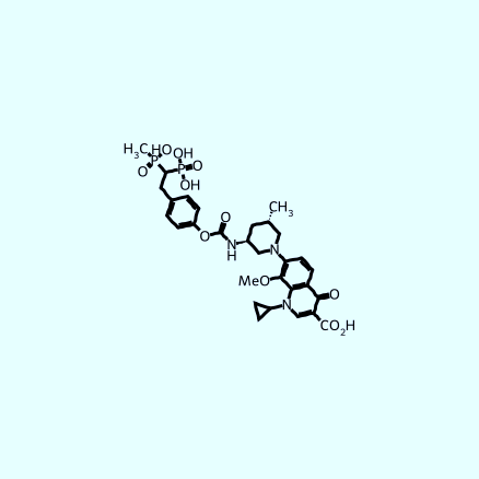 COc1c(N2C[C@@H](C)C[C@H](NC(=O)Oc3ccc(CC(P(C)(=O)O)P(=O)(O)O)cc3)C2)ccc2c(=O)c(C(=O)O)cn(C3CC3)c12